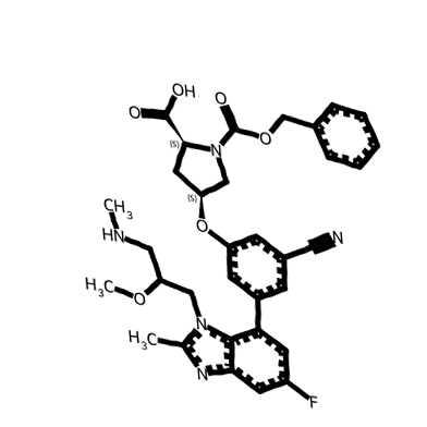 CNCC(Cn1c(C)nc2cc(F)cc(-c3cc(C#N)cc(O[C@H]4C[C@@H](C(=O)O)N(C(=O)OCc5ccccc5)C4)c3)c21)OC